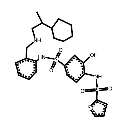 CC(CNCc1ccccc1NS(=O)(=O)c1ccc(NS(=O)(=O)c2cccs2)c(O)c1)C1CCCCC1